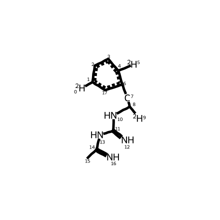 [2H]c1ccc([2H])c(CC([2H])NC(=N)NC(C)=N)c1